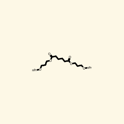 CCCOCCCOC(=O)CCCCC(=O)OCCCOCCC